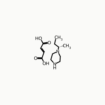 CC[C@H](C)N1CCNCC1.O=C(O)C=CC(=O)O